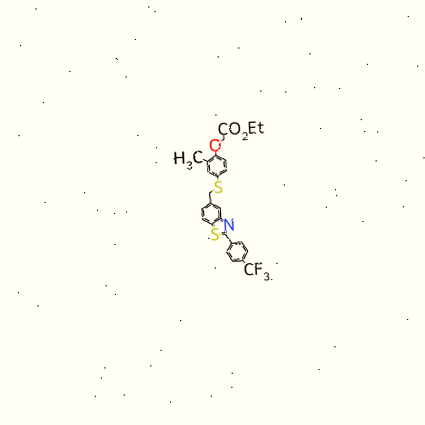 CCOC(=O)COc1ccc(SCc2ccc3sc(-c4ccc(C(F)(F)F)cc4)nc3c2)cc1C